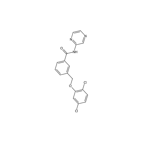 O=C(Nc1cnccn1)c1cccc(COc2cc(Cl)ccc2Cl)c1